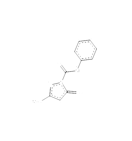 CSc1cc(=O)n(C(=O)Nc2ccccc2)s1